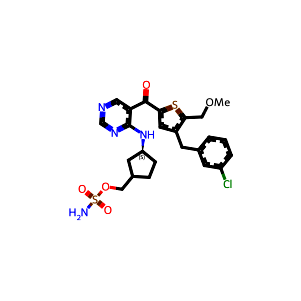 COCc1sc(C(=O)c2cncnc2N[C@H]2CCC(COS(N)(=O)=O)C2)cc1Cc1cccc(Cl)c1